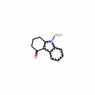 O=C1CCCc2c1c1ccccc1n2C(=O)O